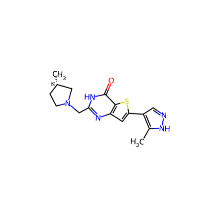 Cc1[nH]ncc1-c1cc2nc(CN3CC[C@H](C)C3)[nH]c(=O)c2s1